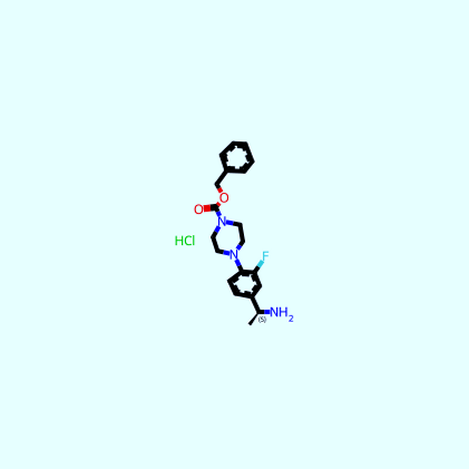 C[C@H](N)c1ccc(N2CCN(C(=O)OCc3ccccc3)CC2)c(F)c1.Cl